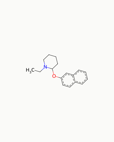 CCN1CCCCC1Oc1ccc2ccccc2c1